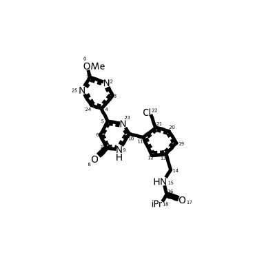 COc1ncc(-c2cc(=O)[nH]c(-c3cc(CNC(=O)C(C)C)ccc3Cl)n2)cn1